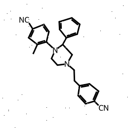 Cc1cc(C#N)ccc1N1CCN(CCc2ccc(C#N)cc2)CC1c1ccccc1